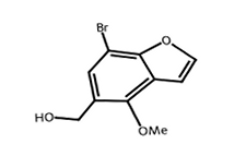 COc1c(CO)cc(Br)c2occc12